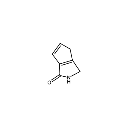 O=C1NCC2=C1C=CC2